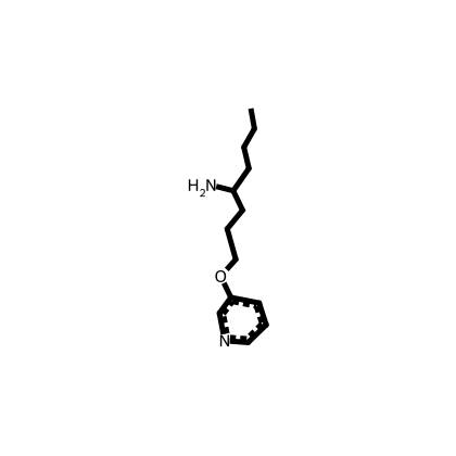 CCCCC(N)CCCOc1cccnc1